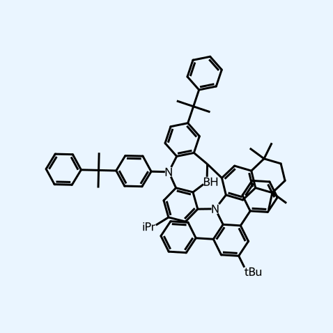 CC(C)c1cc2c3c(c1)N(c1c(-c4ccccc4)cc(C(C)(C)C)cc1-c1ccccc1)c1cc4c(cc1C(B3)c1cc(C(C)(C)c3ccccc3)ccc1N2c1ccc(C(C)(C)c2ccccc2)cc1)C(C)(C)CCC4(C)C